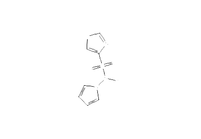 CC(=O)N(n1cccc1)S(=O)(=O)c1cscn1